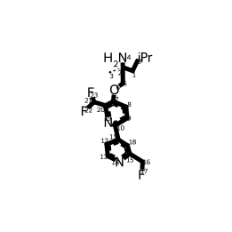 CC(C)C[C@](C)(N)COc1ccc(-c2ccnc(CF)c2)nc1C(F)F